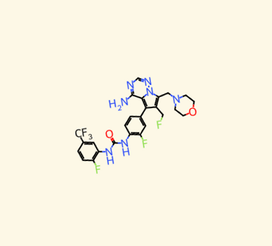 Nc1ncnn2c(CN3CCOCC3)c(CF)c(-c3ccc(NC(=O)Nc4cc(C(F)(F)F)ccc4F)c(F)c3)c12